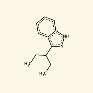 CCC(CC)c1n[nH]c2ccccc12